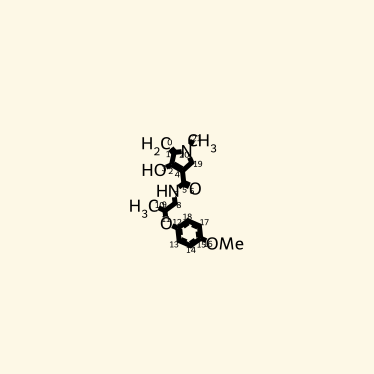 C=C1C(O)=C(C(=O)NCC(C)Oc2ccc(OC)cc2)CN1C